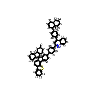 CC1C=CC2=C(C1)c1ccccc1C21c2cc(C3C=CC(c4cc(-c5ccc(C6C=CC=C7C=CC=CC76C)cc5)c5ccccc5n4)=CC3)ccc2-c2c1ccc1c2sc2ccccc21